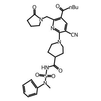 CCCCC(=O)c1cc(C#N)c(N2CCC(C(=O)NS(=O)(=O)N(C)c3ccccc3)CC2)nc1CN1CCCC1=O